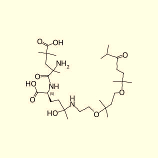 CC(C)C(=O)CCC(C)(C)OCCC(C)(C)OCCNC(C)(O)CC[C@H](NC(=O)C(C)(N)CC(C)(C)C(=O)O)C(=O)O